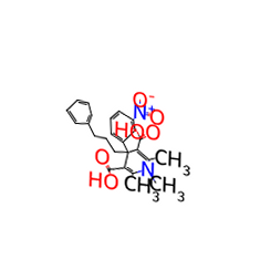 CC1=C(C(=O)O)C(CCCc2ccccc2)(c2cccc([N+](=O)[O-])c2)C(C(=O)O)=C(C)N1C